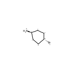 N[C@H]1CC[C@H](Br)CC1